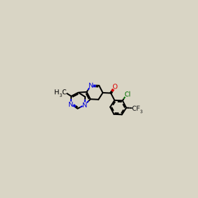 CC1=C2CN(C=N1)C1=C2N=CC(C(=O)c2cccc(C(F)(F)F)c2Cl)C1